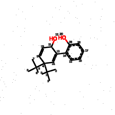 CC(C)(C)C1(C(C)(C)C)C=CC(O)C(c2ccccc2O)=C1